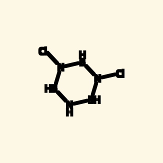 ClN1BNBN(Cl)B1